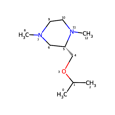 CC(C)OC[C@@H]1CN(C)CCN1C